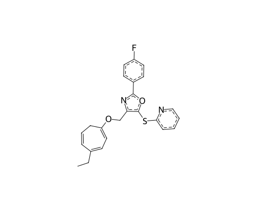 CCC1=CC=C(OCc2nc(-c3ccc(F)cc3)oc2Sc2ccccn2)CC=C1